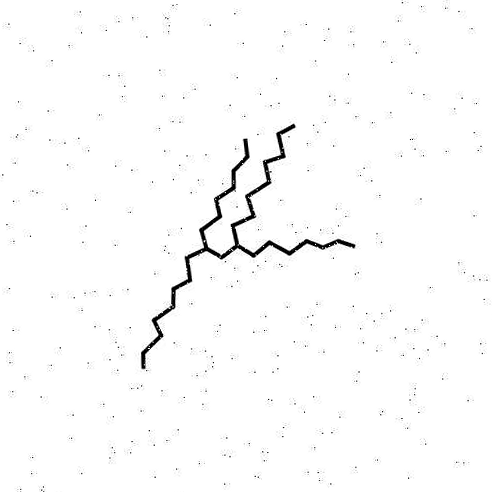 CCCCCCCCC(CCCCCCC)CC(CCCCCCC)CCCCCCCC